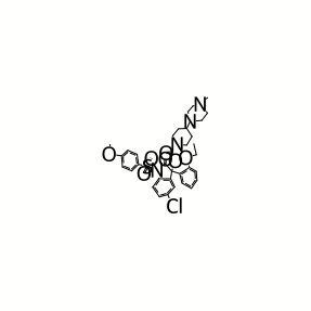 CCOc1ccccc1C1(OC(=O)N2CCC(N3CCN(C)CC3)CC2)C(=O)N(S(=O)(=O)c2ccc(OC)cc2)c2ccc(Cl)cc21